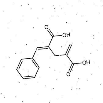 C=C(C/C(=C\c1ccccc1)C(=O)O)C(=O)O